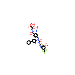 COc1cc(C(F)(F)F)cc2nc(NC(=O)N(Cc3ccc(C(=O)NC[C@@H](O)C(=O)O)cc3)c3ccc(C4CCCCC4)cc3)sc12